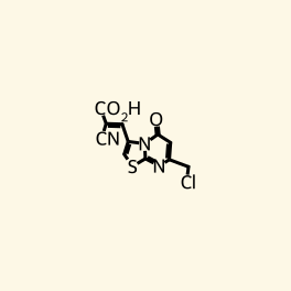 N#C/C(=C\c1csc2nc(CCl)cc(=O)n12)C(=O)O